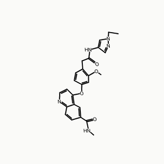 CCn1cc(NC(=O)Cc2ccc(Oc3ccnc4ccc(C(=O)NC)cc34)cc2OC)cn1